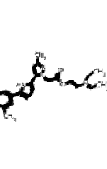 CCN(CC)CCOC(=O)Cn1nc(C)cc1-c1ccc(-c2cccc(C)c2)[nH]1